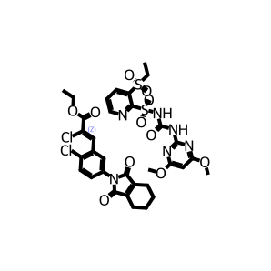 CCOC(=O)/C(Cl)=C/c1cc(N2C(=O)C3=C(CCCC3)C2=O)ccc1Cl.CCS(=O)(=O)c1cccnc1S(=O)(=O)NC(=O)Nc1nc(OC)cc(OC)n1